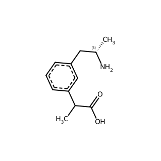 CC(C(=O)O)c1cccc(C[C@H](C)N)c1